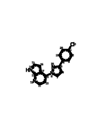 Clc1ccc(-c2ccn(-c3ccnc4[nH]ccc34)n2)cc1